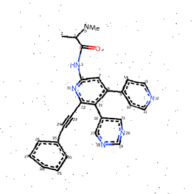 CNC(C)C(=O)Nc1cc(-c2ccncc2)c(-c2cncnc2)c(C#Cc2ccccc2)n1